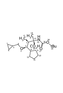 C[C@H]([C@H](OCC1CC1)C1CCCC1)[C@](C)(NC(=O)OC(C)(C)C)C(=O)O